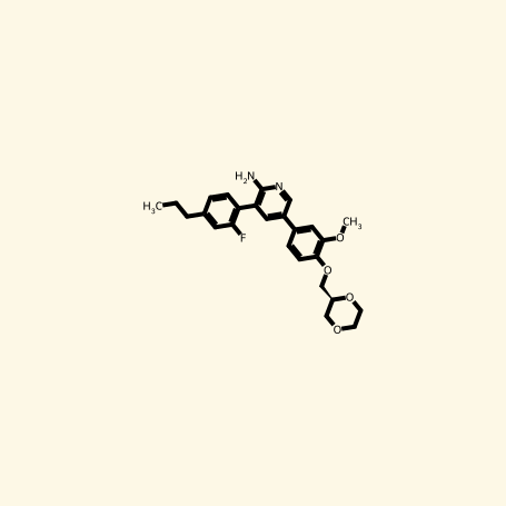 CCCc1ccc(-c2cc(-c3ccc(OC[C@@H]4COCCO4)c(OC)c3)cnc2N)c(F)c1